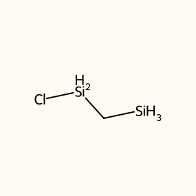 [SiH3]C[SiH2]Cl